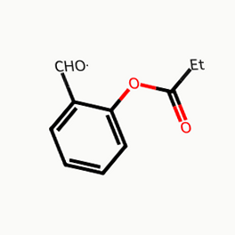 CCC(=O)Oc1ccccc1[C]=O